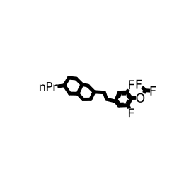 CCCC1CCC2CC(CCc3cc(F)c(OC(F)F)c(F)c3)CCC2C1